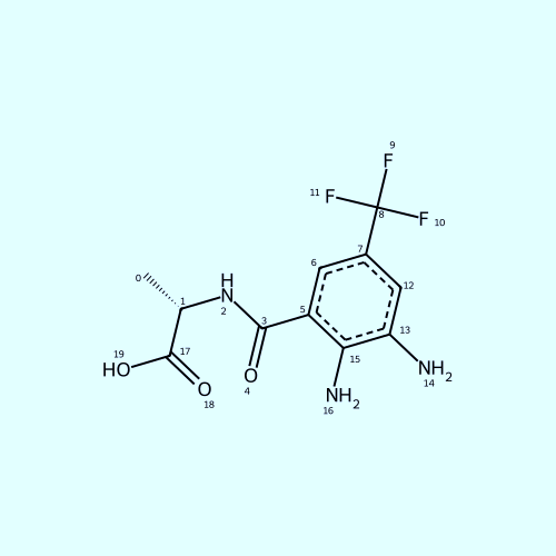 C[C@H](NC(=O)c1cc(C(F)(F)F)cc(N)c1N)C(=O)O